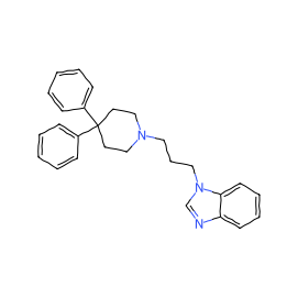 c1ccc(C2(c3ccccc3)CCN(CCCn3cnc4ccccc43)CC2)cc1